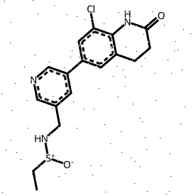 CC[S+]([O-])NCc1cncc(-c2cc(Cl)c3c(c2)CCC(=O)N3)c1